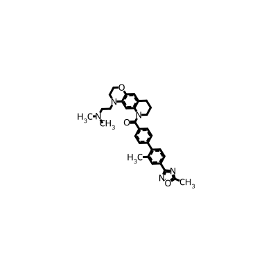 Cc1nc(-c2ccc(-c3ccc(C(=O)N4CCCc5cc6c(cc54)N(CCN(C)C)CCO6)cc3)c(C)c2)no1